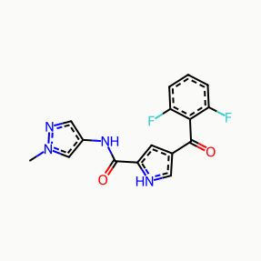 Cn1cc(NC(=O)c2cc(C(=O)c3c(F)cccc3F)c[nH]2)cn1